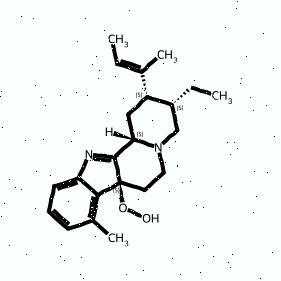 CC=C(C)[C@H]1C[C@H]2C3=Nc4cccc(C)c4[C@@]3(OO)CCN2C[C@H]1CC